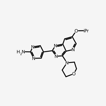 CC(C)Oc1cnc2c(N3CCOCC3)nc(-c3cnc(N)nc3)nc2c1